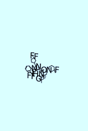 CC(=O)C[C@H](CCN1CCCC(C)(F)C1)NC(=O)c1cn(-c2ccccc2C(F)(F)F)c(C2CCC(F)(F)C2)n1